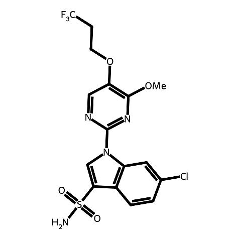 COc1nc(-n2cc(S(N)(=O)=O)c3ccc(Cl)cc32)ncc1OCCC(F)(F)F